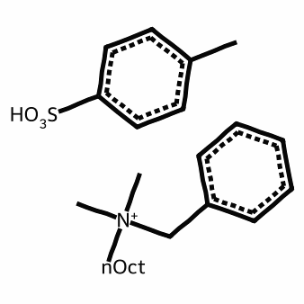 CCCCCCCC[N+](C)(C)Cc1ccccc1.Cc1ccc(S(=O)(=O)O)cc1